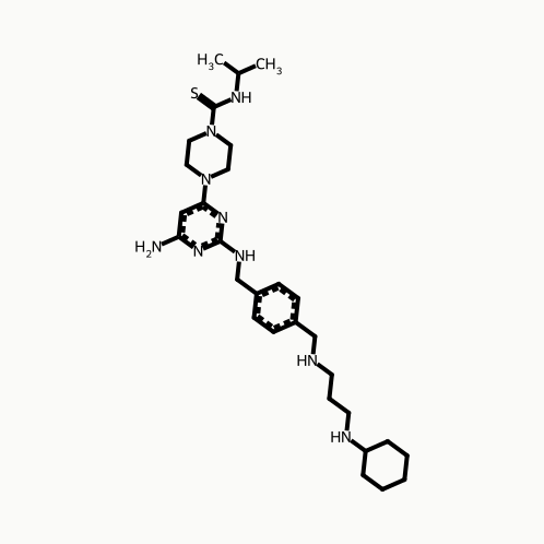 CC(C)NC(=S)N1CCN(c2cc(N)nc(NCc3ccc(CNCCCNC4CCCCC4)cc3)n2)CC1